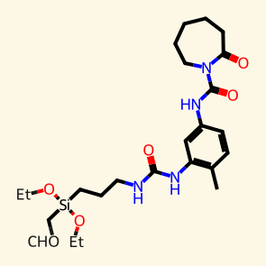 CCO[Si](CC=O)(CCCNC(=O)Nc1cc(NC(=O)N2CCCCCC2=O)ccc1C)OCC